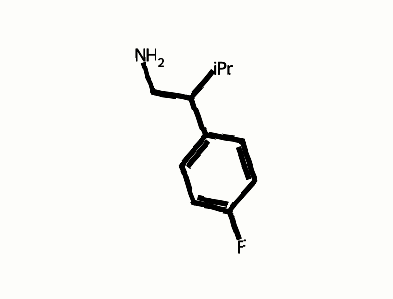 CC(C)C(CN)c1ccc(F)cc1